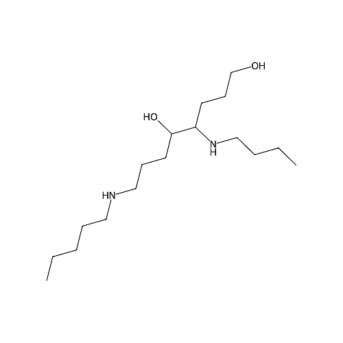 CCCCCNCCCC(O)C(CCCO)NCCCC